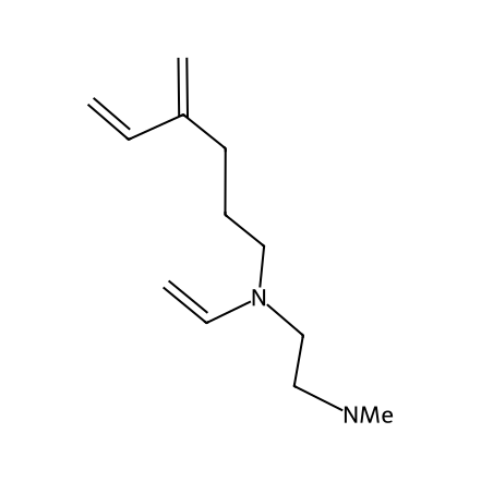 C=CC(=C)CCCN(C=C)CCNC